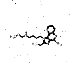 CCc1nc2c(N)nc3cccnc3c2n1CCCCNCOC